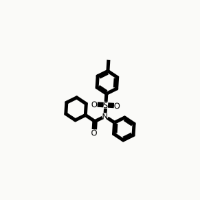 Cc1ccc(S(=O)(=O)N(C(=O)C2CCCCC2)c2ccccc2)cc1